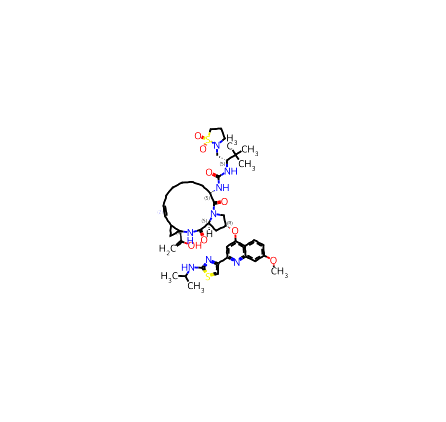 C=C(O)[C@@]12CC1/C=C\CCCCC[C@H](NC(=O)N[C@H](CN1CCCS1(=O)=O)C(C)(C)C)C(=O)N1C[C@H](Oc3cc(-c4csc(NC(C)C)n4)nc4cc(OC)ccc34)C[C@H]1C(=O)N2